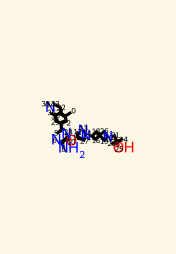 Cc1cc(-c2cnc(N)c(Oc3cnn(C4CC5(C4)CN(CC(C)(C)O)C5)c3)n2)cc2c1CCN(C)C2